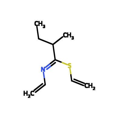 C=C/N=C(\SC=C)C(C)CC